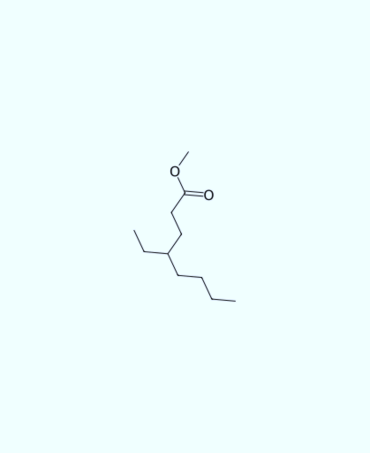 CCCCC(CC)CCC(=O)OC